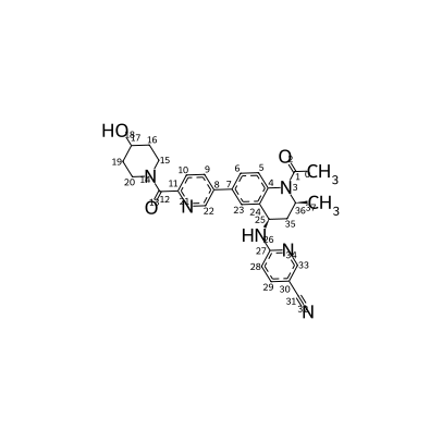 CC(=O)N1c2ccc(-c3ccc(C(=O)N4CCC(O)CC4)nc3)cc2[C@H](Nc2ccc(C#N)cn2)C[C@@H]1C